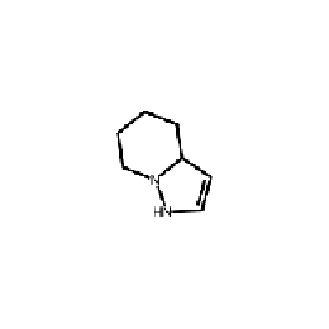 C1=CC2CCCCN2N1